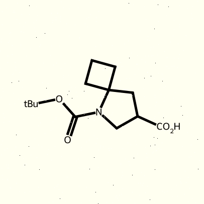 CC(C)(C)OC(=O)N1CC(C(=O)O)CC12CCC2